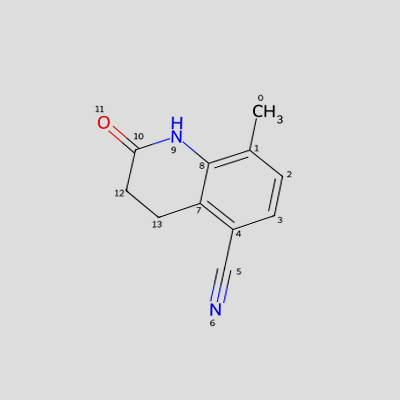 Cc1ccc(C#N)c2c1NC(=O)CC2